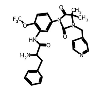 CC1(C)C(=O)N(c2ccc(OC(F)(F)F)c(NC(=O)C(N)Cc3ccccc3)c2)C(=O)N1Cc1ccncc1